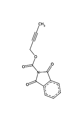 CC#CCOC(=O)N1C(=O)c2ccccc2C1=O